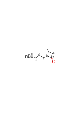 CCCCCCCC1CCC1=O